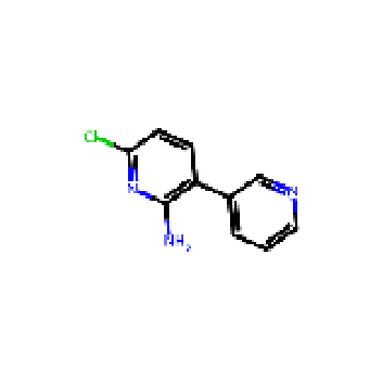 Nc1nc(Cl)ccc1-c1cccnc1